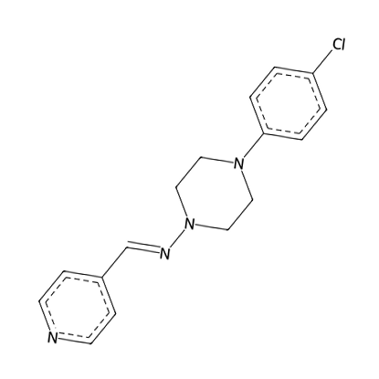 Clc1ccc(N2CCN(N=Cc3ccncc3)CC2)cc1